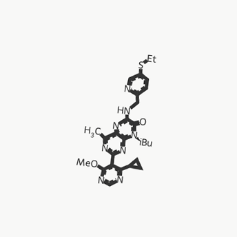 CCSc1ccc(CNc2nc3c(C)nc(-c4c(OC)ncnc4C4CC4)nc3n([C@H](C)CC)c2=O)nc1